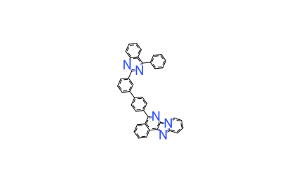 c1ccc(-c2nc(-c3cccc(-c4ccc(-c5nc6c(nc7ccccn76)c6ccccc56)cc4)c3)nc3ccccc23)cc1